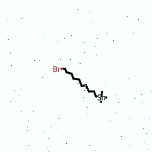 [CH3][Sn]([CH3])([CH3])[CH2]CCCCCCCCCBr